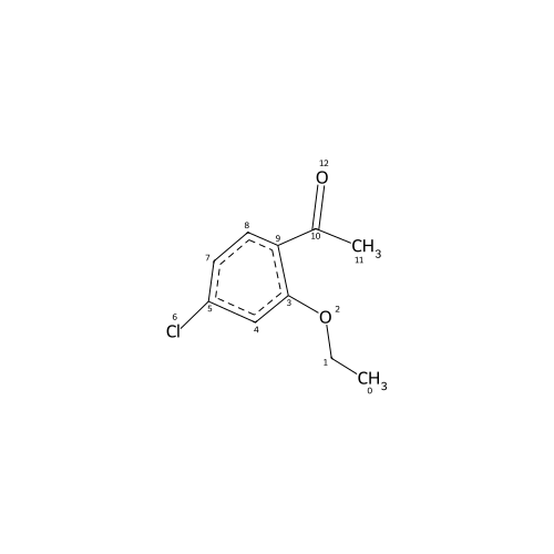 CCOc1cc(Cl)ccc1C(C)=O